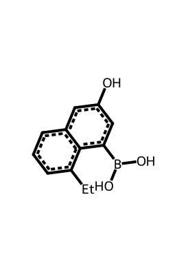 CCc1cccc2cc(O)cc(B(O)O)c12